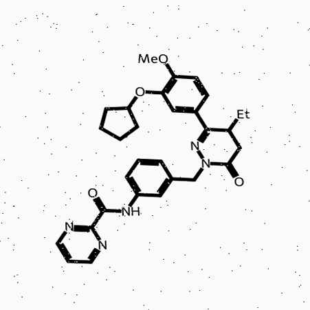 CCC1CC(=O)N(Cc2cccc(NC(=O)c3ncccn3)c2)N=C1c1ccc(OC)c(OC2CCCC2)c1